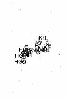 NCC1CCC(CN[C@@H](Cc2ccc3ccccc3c2)C(=O)NCCCC[C@H](NC(=O)N[C@@H](CCC(=O)O)C(=O)O)C(=O)O)CC1